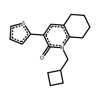 O=c1c(-c2cccs2)cc2c(n1CC1CCC1)CCCC2